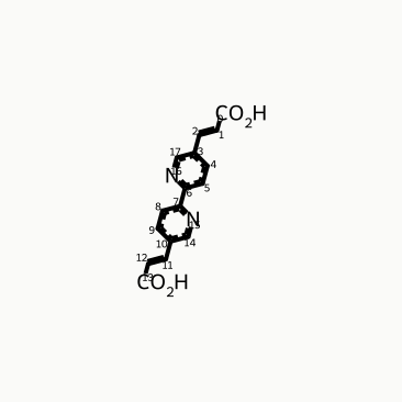 O=C(O)C=Cc1ccc(-c2ccc(C=CC(=O)O)cn2)nc1